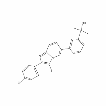 CC(C)(O)c1cccc(-c2ccc3nc(-c4ccc(Cl)cc4)c(F)n3c2)c1